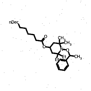 CCCCCCCCCCCCCCCC(=O)OC1CC(C)(C)N(OC(C)c2ccccc2)C(CC)(CC)C1